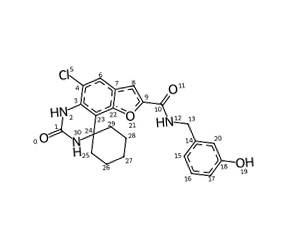 O=C1Nc2c(Cl)cc3cc(C(=O)NCc4cccc(O)c4)oc3c2C2(CCCCC2)N1